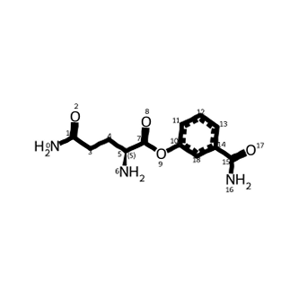 NC(=O)CC[C@H](N)C(=O)Oc1cccc(C(N)=O)c1